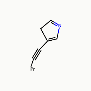 CC(C)C#CC1=CN=CC1